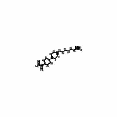 CNN[C@H]1CC[C@H](N2CCN(CCCCCCN)CC2)CC1